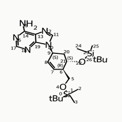 CC(C)(C)[Si](C)(C)OC[C@H]1C=C[C@@H](n2cnc3c(N)ncnc32)C[C@@H]1O[Si](C)(C)C(C)(C)C